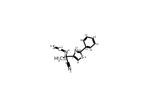 C[C@@](C#N)(N=C=S)c1csc(-c2ccccc2)n1